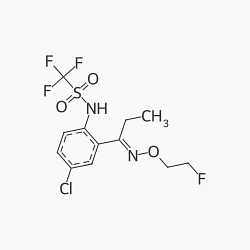 CC/C(=N\OCCF)c1cc(Cl)ccc1NS(=O)(=O)C(F)(F)F